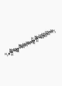 NNNNNNNNNNNNNNNNNNNNNNNNNNNN